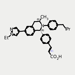 CCn1cc(-c2ccc3c(c2)C[C@@H](C)N(c2ccc(CC(C)C)cc2)[C@@H]3c2ccc(/C=C/C(=O)O)cc2)cn1